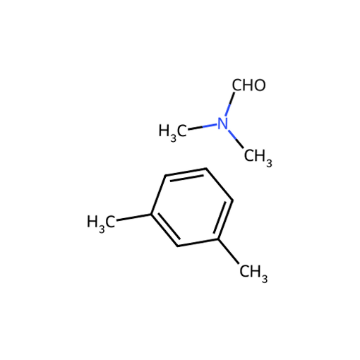 CN(C)C=O.Cc1cccc(C)c1